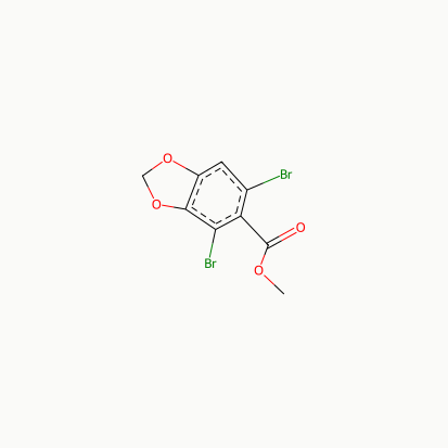 COC(=O)c1c(Br)cc2c(c1Br)OCO2